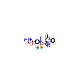 Cc1c(C(=O)Nc2ccc([C@H]3CNCCO3)cc2)cnn1-c1ccccc1.Cl